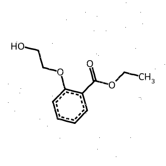 CCOC(=O)c1ccccc1OCCO